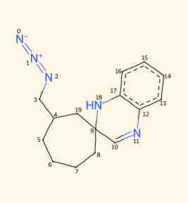 [N-]=[N+]=NCC1CCCCC2(C=Nc3ccccc3N2)C1